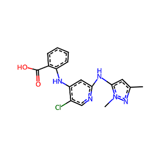 Cc1cc(Nc2cc(Nc3ccccc3C(=O)O)c(Cl)cn2)n(C)n1